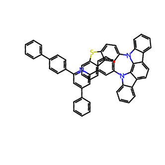 c1ccc(-c2ccc(-c3cc(-c4ccccc4)cc(-c4cccc(-n5c6ccccc6c6ccc7c8ccccc8n(-c8ccc9sc%10ccccc%10c9c8)c7c65)c4)n3)cc2)cc1